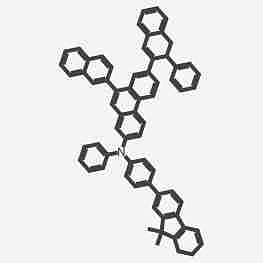 CC1(C)C2=C(C=CCC2)c2ccc(-c3ccc(N(c4ccccc4)c4ccc5c(c4)cc(-c4ccc6ccccc6c4)c4cc(C6=Cc7ccccc7CC6c6ccccc6)ccc45)cc3)cc21